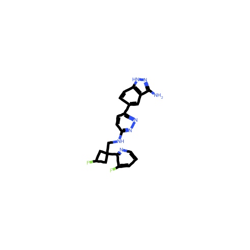 Nc1n[nH]c2ccc(-c3ccc(NCC4(c5ncccc5F)CC(F)C4)nn3)cc12